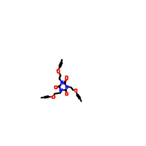 CC#COCCn1c(=O)n(CCOC#CC)c(=O)n(CCOC#CC)c1=O